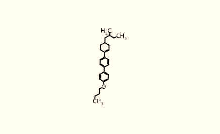 CCCCOc1ccc(-c2ccc(C3=CCC(CC(C)CC)CC3)cc2)cc1